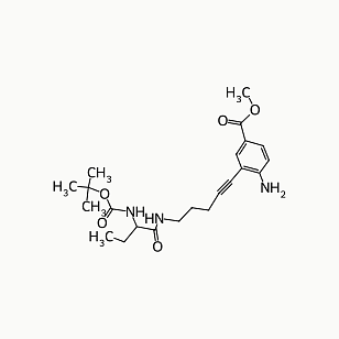 CCC(NC(=O)OC(C)(C)C)C(=O)NCCCC#Cc1cc(C(=O)OC)ccc1N